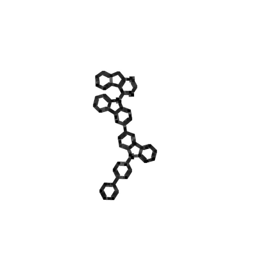 c1ccc(-c2ccc(-n3c4ccccc4c4cc(-c5ccc6c(c5)c5ccccc5n6-c5ncnc6c5-c5ccccc5C6)ccc43)cc2)cc1